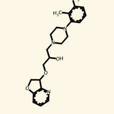 Cc1cccc(N2CCN(CC(O)COC3COc4cccnc43)CC2)c1C